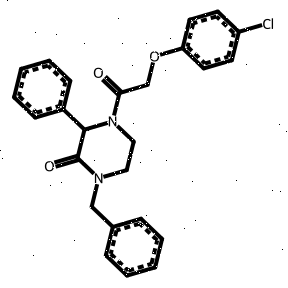 O=C1C(c2ccccc2)N(C(=O)COc2ccc(Cl)cc2)CCN1Cc1ccccc1